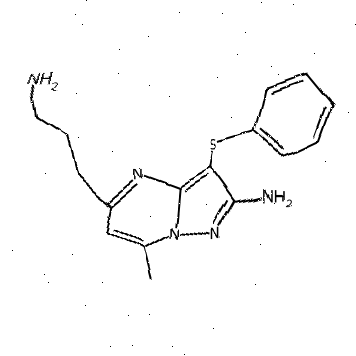 Cc1cc(CCCN)nc2c(Sc3ccccc3)c(N)nn12